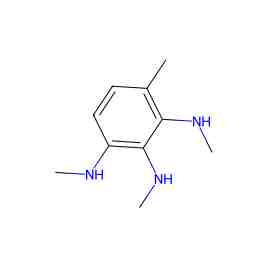 CNc1ccc(C)c(NC)c1NC